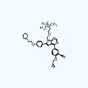 C[Si](C)(C)CCOCn1c(-c2ccc(OCCN3CCCC3)cc2)cc2c(-c3ccc(OCC4CC4)c(C#N)c3)ncnc21